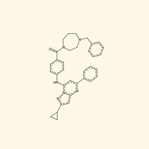 O=C(c1ccc(Nc2cc(-c3ccccc3)nc3cc(C4CC4)nn23)cc1)N1CCCN(Cc2ccccc2)CC1